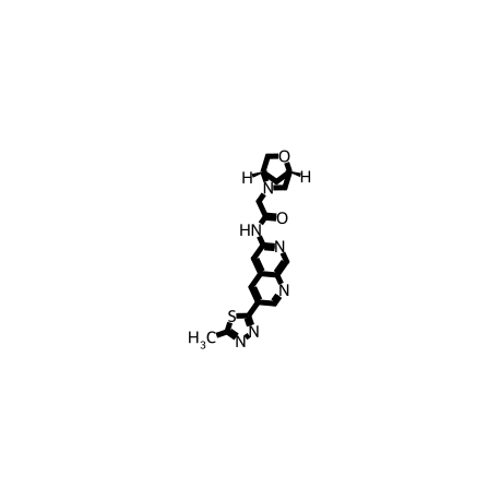 Cc1nnc(-c2cnc3cnc(NC(=O)CN4C[C@@H]5C[C@H]4CO5)cc3c2)s1